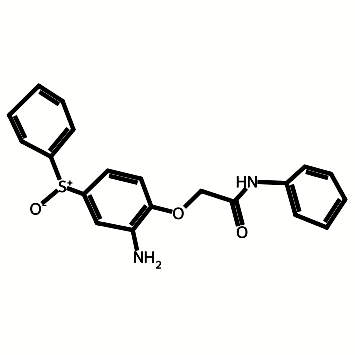 Nc1cc([S+]([O-])c2ccccc2)ccc1OCC(=O)Nc1ccccc1